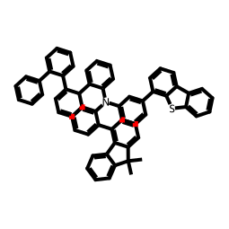 CC1C=CC=C(c2ccccc2-c2ccccc2)C1c1ccccc1N(c1cccc(-c2cccc3c2sc2ccccc23)c1)c1ccccc1-c1cccc2c1-c1ccccc1C2(C)C